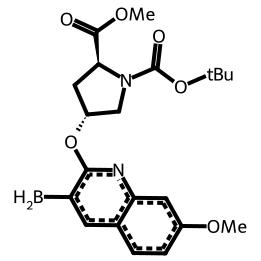 Bc1cc2ccc(OC)cc2nc1O[C@@H]1C[C@@H](C(=O)OC)N(C(=O)OC(C)(C)C)C1